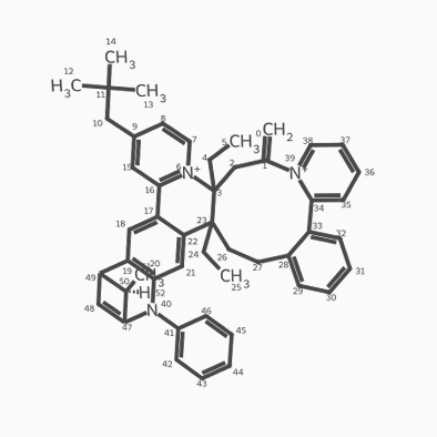 C=C1CC2(CC)[n+]3ccc(CC(C)(C)C)cc3-c3cc4c(cc3C2(CC)CCc2ccccc2-c2cccc[n+]21)N(c1ccccc1)C1=CC4[C@H]1C